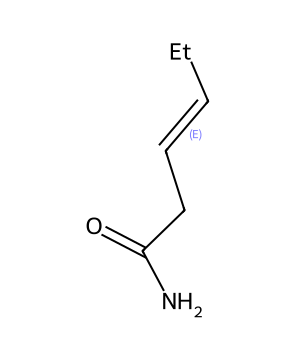 CC/C=C/CC(N)=O